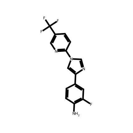 Nc1ccc(-c2cn(-c3ccc(C(F)(F)F)cn3)cn2)cc1F